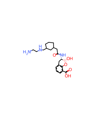 NCCNCC1CCCC(CC(=O)N[C@H]2Cc3cccc(C(=O)O)c3OB2O)C1